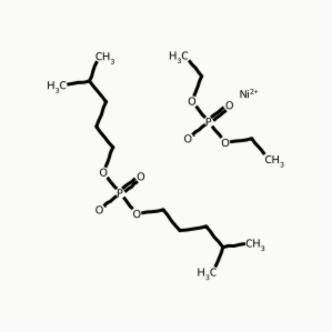 CC(C)CCCOP(=O)([O-])OCCCC(C)C.CCOP(=O)([O-])OCC.[Ni+2]